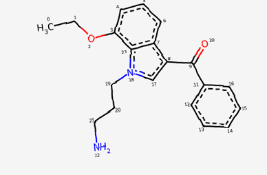 CCOc1cccc2c(C(=O)c3ccccc3)cn(CCCN)c12